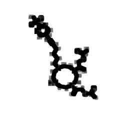 C=C(COC(C)=O)N1CCNCCN(CCCCC#Cc2cnc(S(C)(=O)=O)nc2)CCN(C(=C)COC(C)=O)CC1